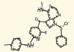 CNc1ncnc2c1c(C(=O)c1ccc(Nc3ccc(C)nc3)nc1F)cn2[S+]([O-])c1ccccc1